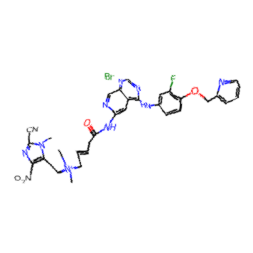 Cn1c(C#N)nc([N+](=O)[O-])c1C[N+](C)(C)C/C=C/C(=O)Nc1cc2c(Nc3ccc(OCc4ccccn4)c(F)c3)ncnc2cn1.[Br-]